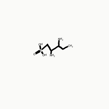 CCC(N)C(N)CP(=O)(O)O